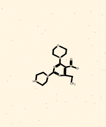 CCc1nc(N2CCNCC2)nc(N2CCOCC2)c1[N+](=O)[O-]